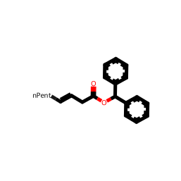 CCCCCC=CCC(=O)OC(c1ccccc1)c1ccccc1